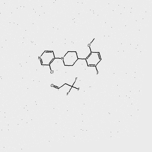 COc1ccc(F)cc1C1CCN(c2ccncc2Cl)CC1.O=CCC(F)(F)F